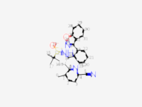 Cc1ccc(C#N)nc1C[C@H](N[S+]([O-])C(C)(C)C)c1ccccc1-c1noc2ccccc12